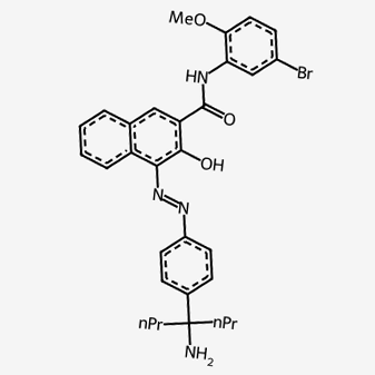 CCCC(N)(CCC)c1ccc(N=Nc2c(O)c(C(=O)Nc3cc(Br)ccc3OC)cc3ccccc23)cc1